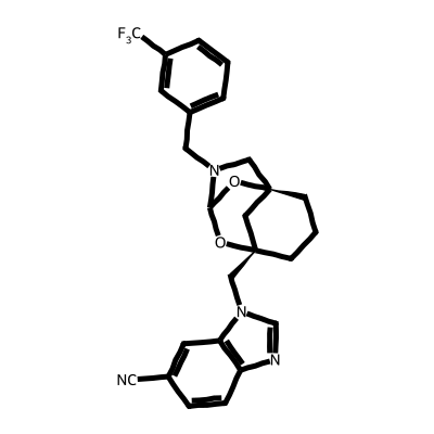 N#Cc1ccc2ncn(C[C@@]34CCC[C@@]5(CN(Cc6cccc(C(F)(F)F)c6)C(O5)O3)C4)c2c1